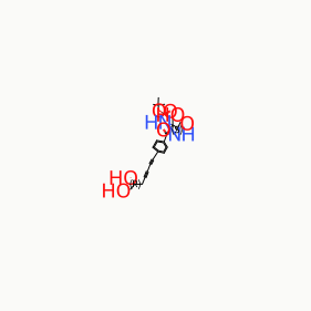 CC(C)(C)OC(=O)NC(C)(C)[C@](C)(NC(=O)c1ccc(C#CC#CC[C@@H](O)CO)cc1)C(=O)O